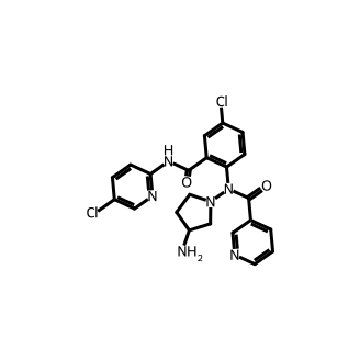 NC1CCN(N(C(=O)c2cccnc2)c2ccc(Cl)cc2C(=O)Nc2ccc(Cl)cn2)C1